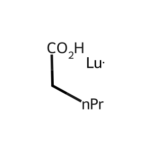 CCCCC(=O)O.[Lu]